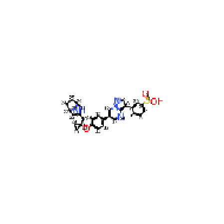 O=S(O)c1cccc(-c2cnn3cc(-c4ccc(OC5(CC6CC7CCC(C6)N7)CC5)cc4)cnc23)c1